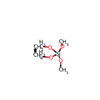 C=C.CO[Si](OC)(OC)OC